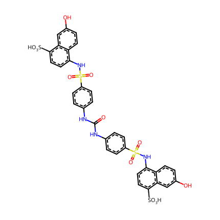 O=C(Nc1ccc(S(=O)(=O)Nc2ccc(S(=O)(=O)O)c3cc(O)ccc23)cc1)Nc1ccc(S(=O)(=O)Nc2ccc(S(=O)(=O)O)c3cc(O)ccc23)cc1